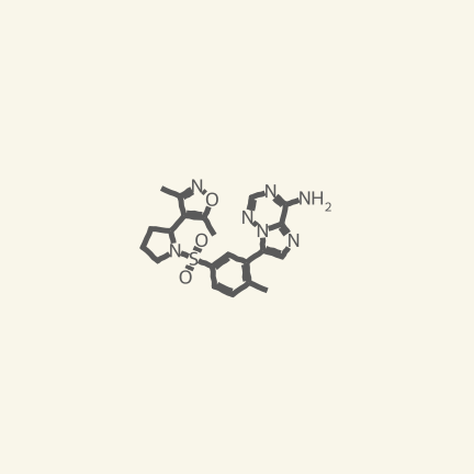 Cc1ccc(S(=O)(=O)N2CCCC2c2c(C)noc2C)cc1-c1cnc2c(N)ncnn12